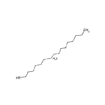 CCCCCCCCCCCCCCCCS.S